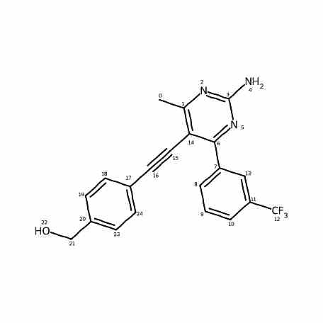 Cc1nc(N)nc(-c2cccc(C(F)(F)F)c2)c1C#Cc1ccc(CO)cc1